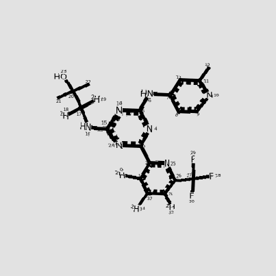 [2H]c1c(-c2nc(Nc3ccnc(C)c3)nc(NC([2H])([2H])C(C)(C)O)n2)nc(C(F)(F)F)c([2H])c1[2H]